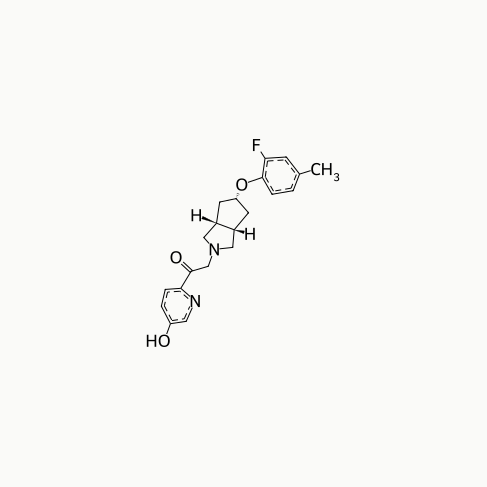 Cc1ccc(O[C@@H]2C[C@@H]3CN(CC(=O)c4ccc(O)cn4)C[C@@H]3C2)c(F)c1